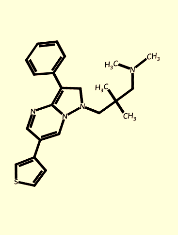 CN(C)CC(C)(C)CN1CC(c2ccccc2)=C2N=CC(c3ccsc3)=CN21